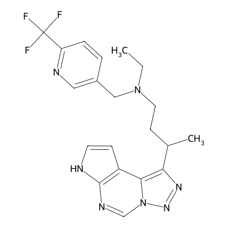 CCN(CCC(C)c1nnn2cnc3[nH]ccc3c12)Cc1ccc(C(F)(F)F)nc1